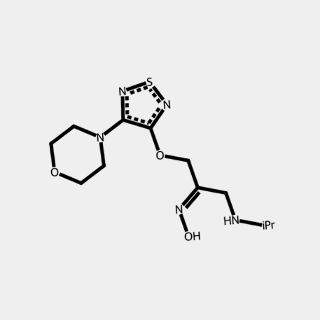 CC(C)NCC(COc1nsnc1N1CCOCC1)=NO